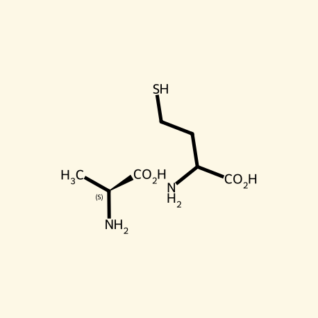 C[C@H](N)C(=O)O.NC(CCS)C(=O)O